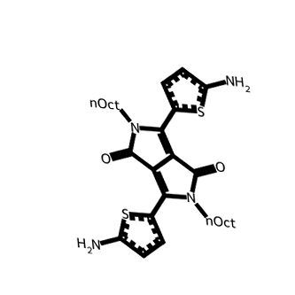 CCCCCCCCN1C(=O)C2=C(c3ccc(N)s3)N(CCCCCCCC)C(=O)C2=C1c1ccc(N)s1